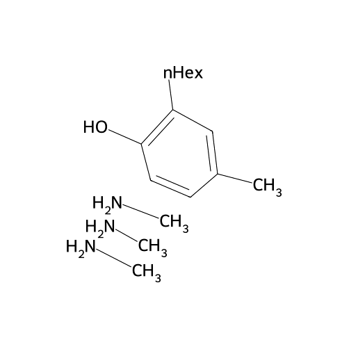 CCCCCCc1cc(C)ccc1O.CN.CN.CN